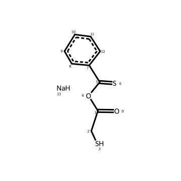 O=C(CS)OC(=S)c1ccccc1.[NaH]